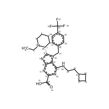 CCN1CCCC[C@@H]1c1nc2nc(C(=O)O)nc(NCCC3CCC3)c2n1Cc1ccc(C(F)(F)F)cc1